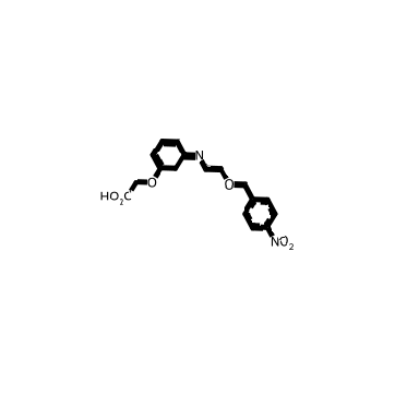 O=C(O)COC1=CC=CC(=NCCOCc2ccc([N+](=O)[O-])cc2)C1